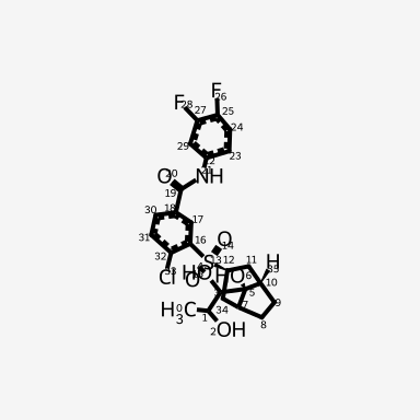 CC(O)C(O)[C@@]1(O)C2CC[C@H]1C[C@H](S(=O)(=O)c1cc(C(=O)Nc3ccc(F)c(F)c3)ccc1Cl)C2